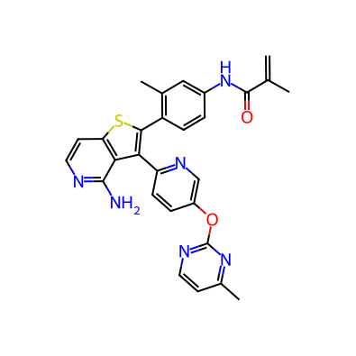 C=C(C)C(=O)Nc1ccc(-c2sc3ccnc(N)c3c2-c2ccc(Oc3nccc(C)n3)cn2)c(C)c1